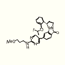 COCCCNc1ncc(-c2ccc3c(=O)n4n(c3c2)[C@@H](c2ccccc2OC(C)F)CC4)cn1